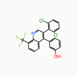 Oc1cccc(-c2c(-c3c(Cl)cccc3Cl)cnc3c(C(F)(F)F)cccc23)c1